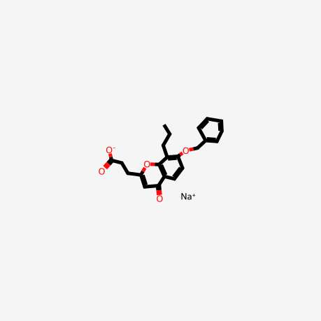 CCCc1c(OCc2ccccc2)ccc2c(=O)cc(CCC(=O)[O-])oc12.[Na+]